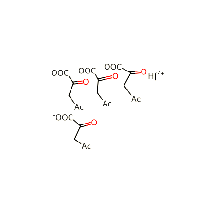 CC(=O)CC(=O)C(=O)[O-].CC(=O)CC(=O)C(=O)[O-].CC(=O)CC(=O)C(=O)[O-].CC(=O)CC(=O)C(=O)[O-].[Hf+4]